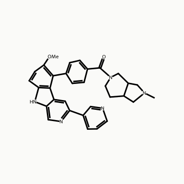 COc1ccc2[nH]c3cnc(-c4cccnc4)cc3c2c1-c1ccc(C(=O)N2CCC3CN(C)CC3C2)cc1